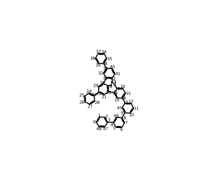 c1ccc(-c2cccc(-c3cccc(-c4ccc5c(c4)c4cc(-c6ccccc6)cc6c7cc(-c8ccccc8)ccc7n5c64)c3)c2)cc1